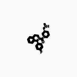 CNC[C@@H]1CCCN(C(=O)N2CCc3ccccc3[C@@H]2c2ccc(F)cc2)C1